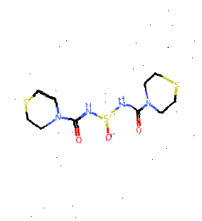 O=C(N[S+]([O-])NC(=O)N1CCSCC1)N1CCSCC1